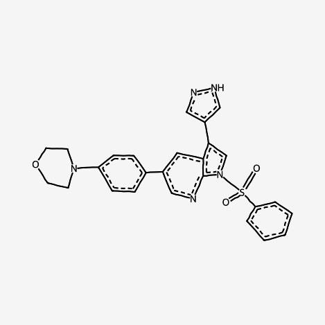 O=S(=O)(c1ccccc1)n1cc(-c2cn[nH]c2)c2cc(-c3ccc(N4CCOCC4)cc3)cnc21